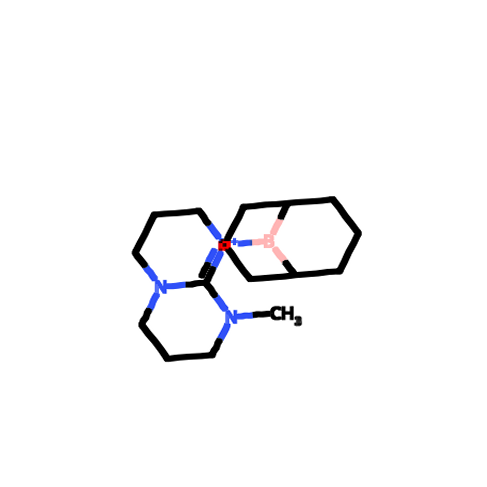 CN1CCCN2CCC[N+](B3C4CCCC3CCC4)=C12